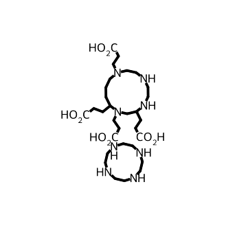 C1CNCCNCCNCCN1.O=C(O)CCC1CN(CCC(=O)O)C(CCC(=O)O)CCCN(CCC(=O)O)CCNCCN1